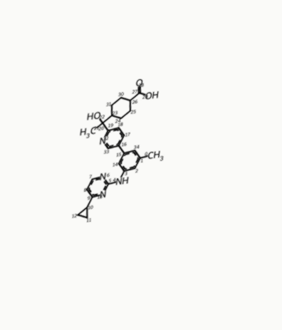 Cc1cc(Nc2nccc(C3CC3)n2)cc(-c2ccc(C(C)(O)C3CCC(C(=O)O)CC3)nc2)c1